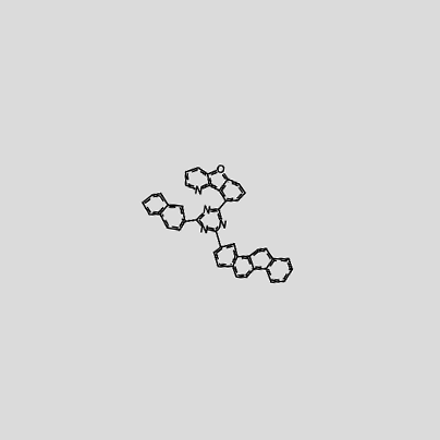 c1ccc2cc(-c3nc(-c4ccc5ccc6c7ccccc7ccc6c5c4)nc(-c4cccc5oc6cccnc6c45)n3)ccc2c1